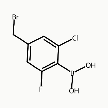 OB(O)c1c(F)cc(CBr)cc1Cl